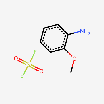 COc1ccccc1N.O=S(=O)(F)F